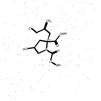 C=C(CCl)C[C@]1(C(=O)OC)CC(O)CN1C(=O)OC(C)(C)C